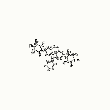 Fc1c(F)c(F)c(-c2cc3ccc4cc(-c5c(F)c(F)c(F)c(F)c5F)cc5c4c3c(c2)n5-c2ccccc2)c(F)c1F